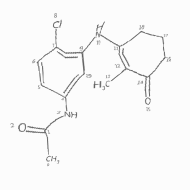 CC(=O)Nc1ccc(Cl)c(NC2=C(C)C(=O)CCC2)c1